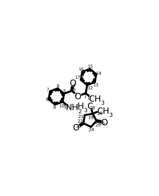 CC(OC(=O)c1ccccc1N)c1ccccc1.CC1(C)CC(=O)CC1=O